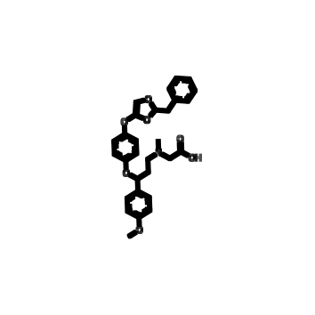 COc1ccc(C(CCN(C)CC(=O)O)Oc2ccc(OC3=COC(Cc4ccccc4)O3)cc2)cc1